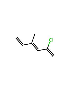 C=C/C(C)=C/C(=C)Cl